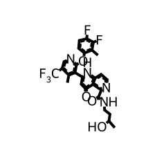 Cc1c(Oc2ncc(C(F)(F)F)c(C)c2-c2cc(=O)c3c(C(=O)NCCC(C)O)nccc3[nH]2)ccc(F)c1F